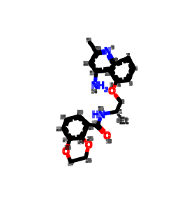 CC[C@@H](COc1cccc2nc(C)cc(N)c12)NC(=O)c1cccc2c1OCCO2